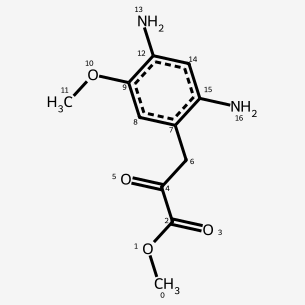 COC(=O)C(=O)Cc1cc(OC)c(N)cc1N